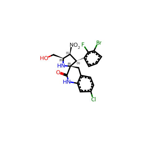 O=C1Nc2cc(Cl)ccc2C[C@]12N[C@@H](CO)[C@@H]([N+](=O)[O-])[C@@H]2c1cccc(Br)c1F